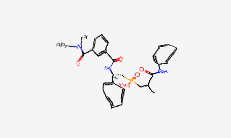 CCCN(CCC)C(=O)c1cccc(C(=O)N[C@H](CP(=O)(O)CC(C)C(=O)Nc2ccccc2)c2ccccc2)c1